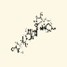 CN1C[C@@H](NC(=O)c2cnc(NNC(=O)NC3c4cnccc4CCc4c(F)cccc43)c(Cl)c2)CC1=O